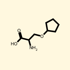 NC(COC1CCCC1)C(=O)O